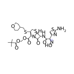 CC(C)(C)C(=O)OCOC(=O)C1=C(SCC2CCOCC2)CS[C@H]2C(NC(=O)/C(=N\O)c3csc(N)n3)C(=O)N12